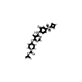 Cc1c(Nc2ccc(S(=O)(=O)C3CCC3)cc2F)ncnc1OC1CCN(C(=O)OC(C)C)CC1